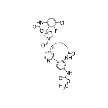 COC(=O)Nc1ccc2c(c1)NC(=O)CCCC[C@@H](C(=O)N1CC[C@@]3(C1)OC(=O)Nc1ccc(Cl)c(F)c13)c1ccnc-2c1